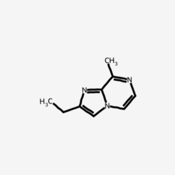 CCc1cn2ccnc(C)c2n1